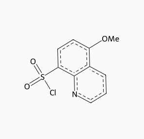 COc1ccc(S(=O)(=O)Cl)c2ncccc12